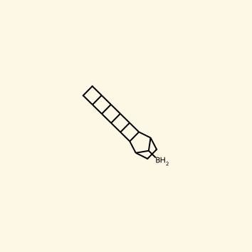 BC1C2CCC1C1C2C2C1C1C3C4CCC4C3C21